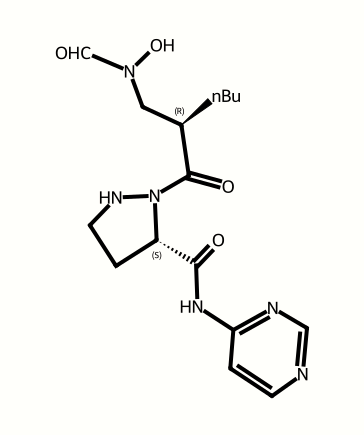 CCCC[C@H](CN(O)C=O)C(=O)N1NCC[C@H]1C(=O)Nc1ccncn1